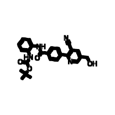 CC(C)(C)OC(=O)Nc1ccccc1NC(=O)c1ccc(-c2ncc(CO)cc2C#N)cc1